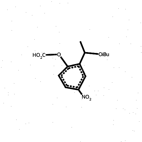 CC(C)COC(C)c1cc([N+](=O)[O-])ccc1OC(=O)O